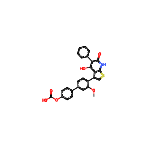 COc1cc(-c2ccc(OC(=O)O)cc2)ccc1-c1csc2[nH]c(=O)c(-c3ccccc3)c(O)c12